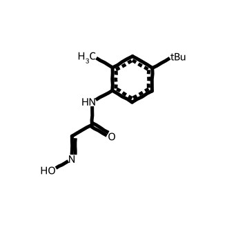 Cc1cc(C(C)(C)C)ccc1NC(=O)C=NO